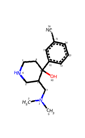 CN(C)CC1CNCCC1(O)c1cccc(C#N)c1